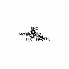 CCn1nc(C)cc1C(=O)Nc1nc2cc(C=O)cc3c2n1CC(C)CN3CCOC